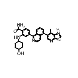 Cc1c(-c2cccc3c(-c4ccc(C(N)=O)c(NC5CCC(O)CC5)c4)nccc23)cnc2nc[nH]c12